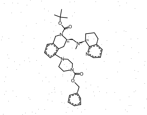 CN(C[C@H]1Cc2c(cccc2N2CCN(C(=O)OCc3ccccc3)CC2)CN1C(=O)OC(C)(C)C)[C@H]1CCCc2cccnc21